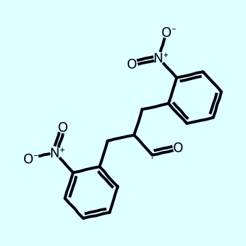 O=[C]C(Cc1ccccc1[N+](=O)[O-])Cc1ccccc1[N+](=O)[O-]